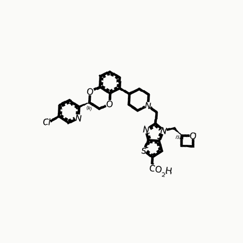 O=C(O)c1cc2c(nc(CN3CCC(c4cccc5c4OC[C@@H](c4ccc(Cl)cn4)O5)CC3)n2C[C@@H]2CCO2)s1